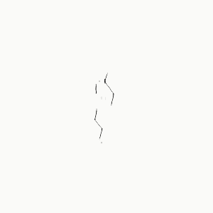 CCC(C)O.OCCO.OCCO